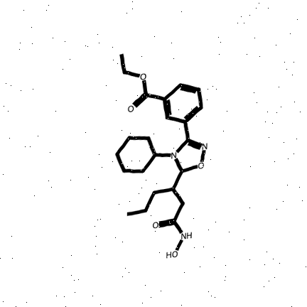 CCCC(CC(=O)NO)C1ON=C(c2cccc(C(=O)OCC)c2)N1C1CCCCC1